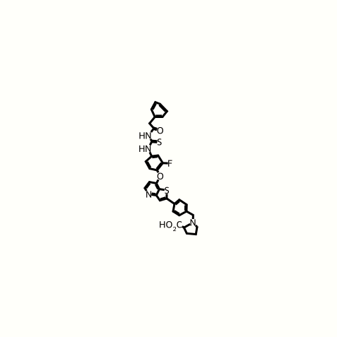 O=C(Cc1ccccc1)NC(=S)Nc1ccc(Oc2ccnc3cc(-c4ccc(CN5CCCC5C(=O)O)cc4)sc23)c(F)c1